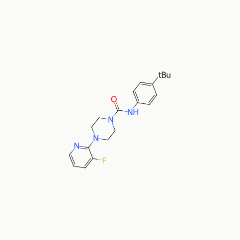 CC(C)(C)c1ccc(NC(=O)N2CCN(c3ncccc3F)CC2)cc1